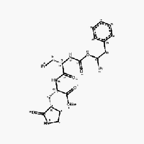 COC(=O)[C@H](C[C@@H]1CCNC1=O)NC(=O)[C@H](CC(C)C)NC(=O)OC(Cc1ccccc1)C(C)C